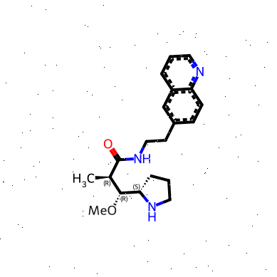 CO[C@@H]([C@@H]1CCCN1)[C@@H](C)C(=O)NCCc1ccc2ncccc2c1